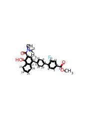 COC(=O)c1ccc(C2=CC=C(c3cc(C(=O)N(C)C)c(O)c4ccccc34)CC2)c(F)c1